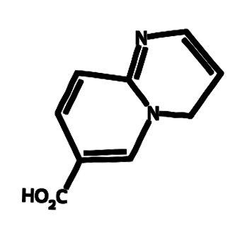 O=C(O)C1=CN2CC=CN=C2C=C1